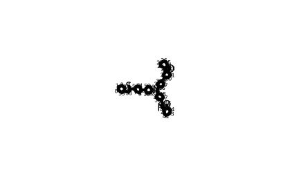 c1ccc2sc(-c3ccc(-c4ccc(N(c5ccc(-c6ccc7oc8ccccc8c7c6)cc5)c5ccc(-c6nc7ccccc7o6)cc5)cc4)cc3)cc2c1